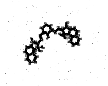 CC1=C(/C=C/C2=[N+](C)C3=CCC4C=CC=CC4=C3C2(C)C)CCC/C1=C\C=C1\N(C)c2ccc3ccccc3c2C1(C)C